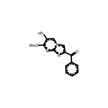 CCCc1cn2cc(C(=O)c3ccccc3)nc2nc1OC